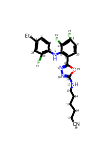 CCc1ccc(Nc2c(-c3nnc(NCCCCCC#N)o3)ccc(F)c2F)c(F)c1